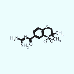 CC1(C)CSc2ccc(C(=O)N=C(N)N)cc2S1(=O)=O